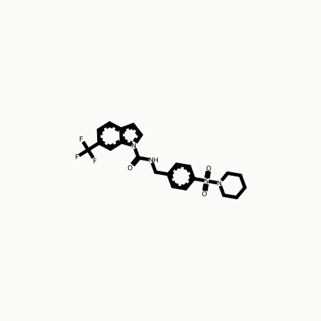 O=C(NCc1ccc(S(=O)(=O)N2CCCCC2)cc1)n1ccc2ccc(C(F)(F)F)cc21